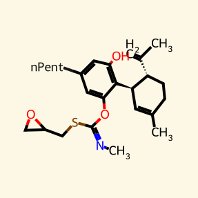 C=C(C)[C@@H]1CCC(C)=C[C@H]1c1c(O)cc(CCCCC)cc1O/C(=N\C)SCC1CO1